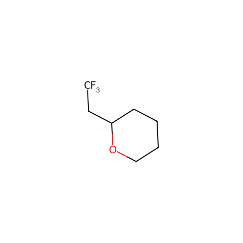 FC(F)(F)CC1CCCCO1